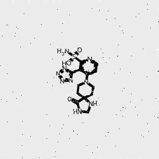 NS(=O)(=O)c1nccc(N2CCC3(CC2)NCNC3=O)c1-c1nnn[nH]1